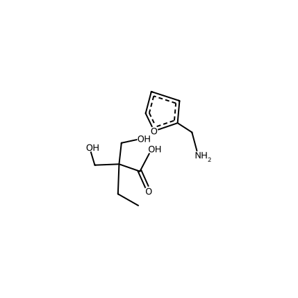 CCC(CO)(CO)C(=O)O.NCc1ccco1